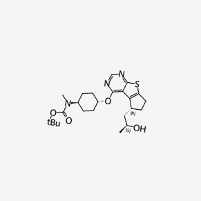 C[C@H](O)C[C@H]1CCc2sc3ncnc(O[C@H]4CC[C@H](N(C)C(=O)OC(C)(C)C)CC4)c3c21